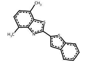 Cc1ccc(C)c2sc(-c3cc4ccccc4s3)nc12